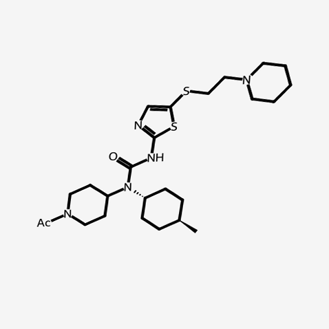 CC(=O)N1CCC(N(C(=O)Nc2ncc(SCCN3CCCCC3)s2)[C@H]2CC[C@H](C)CC2)CC1